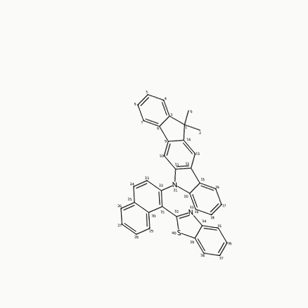 CC1(C)c2ccccc2-c2cc3c(cc21)c1ccccc1n3-c1ccc2ccccc2c1-c1nc2ccccc2s1